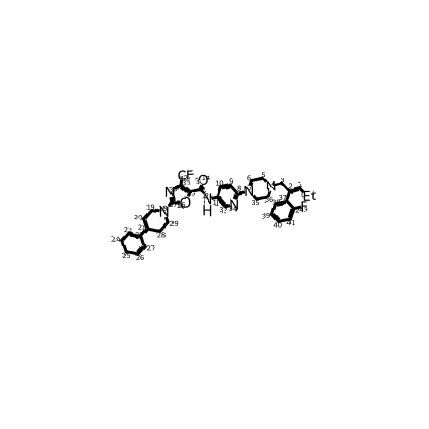 CC/C=C(/CN1CCN(c2ccc(NC(=O)c3oc(N4CCC(C5=CCCC=C5)CC4)nc3C(F)(F)F)cn2)CC1)c1ccccc1F